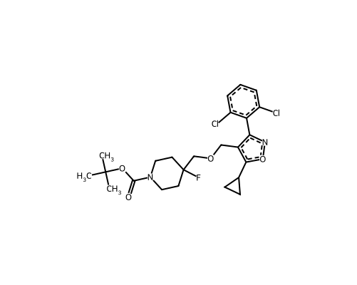 CC(C)(C)OC(=O)N1CCC(F)(COCc2c(-c3c(Cl)cccc3Cl)noc2C2CC2)CC1